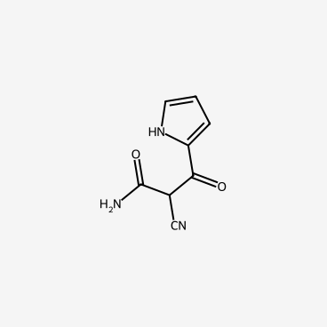 N#CC(C(N)=O)C(=O)c1ccc[nH]1